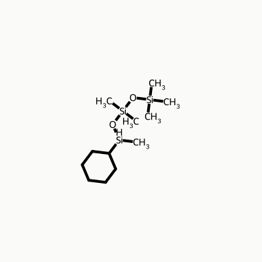 C[SiH](O[Si](C)(C)O[Si](C)(C)C)C1CCCCC1